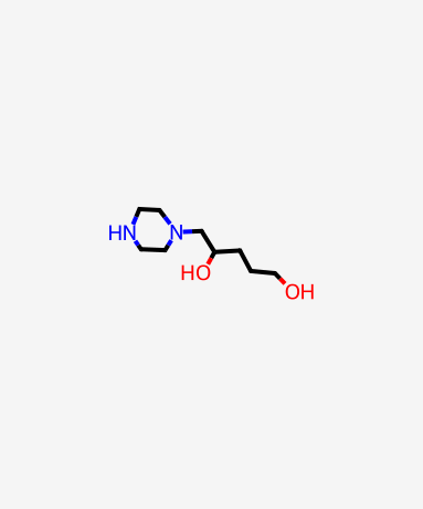 OCCCC(O)CN1CCNCC1